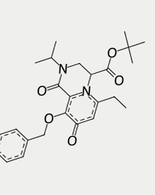 CCc1cc(=O)c(OCc2ccccc2)c2n1C(C(=O)OC(C)(C)C)CN(C(C)C)C2=O